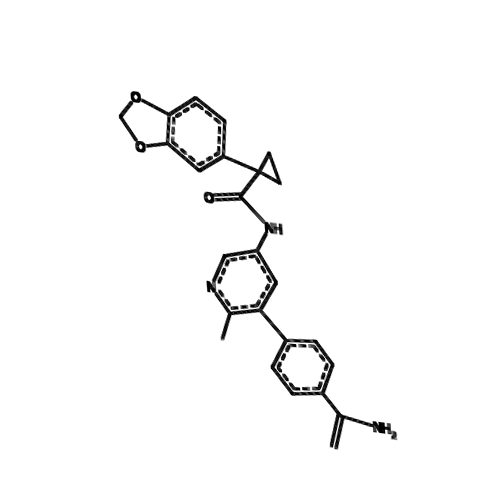 C=C(N)c1ccc(-c2cc(NC(=O)C3(c4ccc5c(c4)OCO5)CC3)cnc2C)cc1